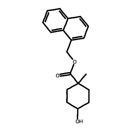 CC1(C(=O)OCc2cccc3ccccc23)CCC(O)CC1